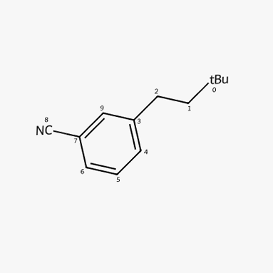 CC(C)(C)CCc1cccc(C#N)c1